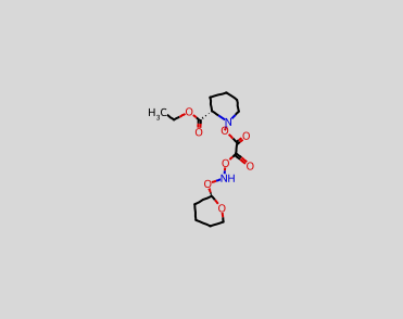 CCOC(=O)[C@@H]1CCCCN1OC(=O)C(=O)ONO[C@@H]1CCCCO1